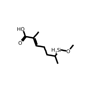 CO[SiH2]C(C)CC/C=C(\C)C(=O)O